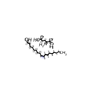 CCCCCCCC/C=C\CCCCCCCCO.NC(CCC(=O)O)C(=O)O